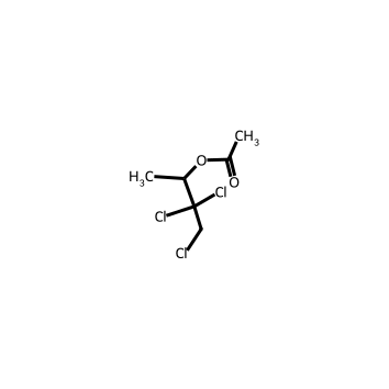 CC(=O)OC(C)C(Cl)(Cl)CCl